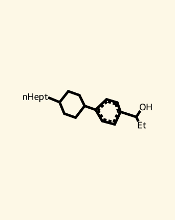 CCCCCCCC1CCC(c2ccc(C(O)CC)cc2)CC1